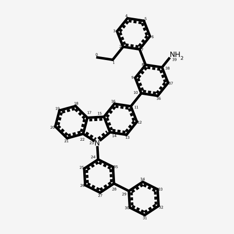 CCc1ccccc1-c1cc(-c2ccc3c(c2)c2ccccc2n3-c2cccc(-c3ccccc3)c2)ccc1N